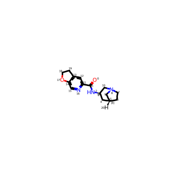 O=C(N[C@@H]1C[C@H]2CCN(C2)C1)c1cc2c(cn1)OCC2